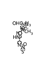 Cc1c(NC=O)nn(-c2cnc3[nH]c(-c4ccnc(C(=O)N5CCSCC5)c4)cc3c2)c1C